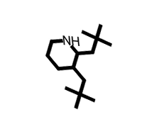 CC(C)(C)CC1CCCNC1CC(C)(C)C